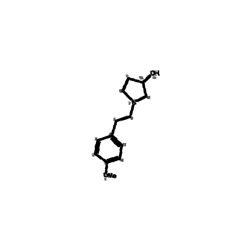 COc1ccc(CCN2CCC(O)C2)cc1